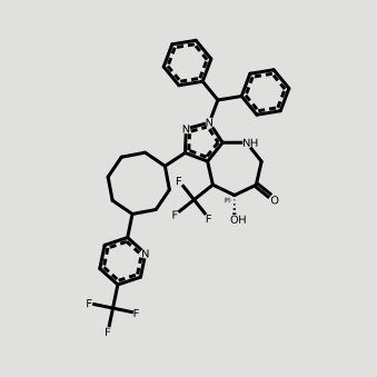 O=C1CNc2c(c(C3CCCCC(c4ccc(C(F)(F)F)cn4)CC3)nn2C(c2ccccc2)c2ccccc2)C(C(F)(F)F)[C@H]1O